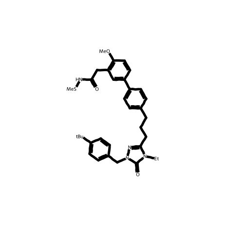 CCn1c(CCCc2ccc(-c3ccc(OC)c(CC(=O)NSC)c3)cc2)nn(Cc2ccc(C(C)(C)C)cc2)c1=O